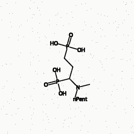 CCCCCN(C)C(CCP(=O)(O)O)P(=O)(O)O